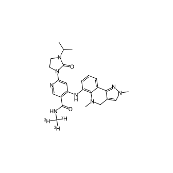 [2H]C([2H])([2H])NC(=O)c1cnc(N2CCN(C(C)C)C2=O)cc1Nc1cccc2c1N(C)Cc1cn(C)nc1-2